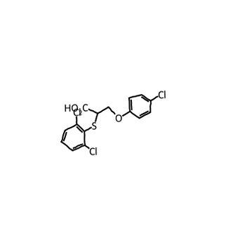 O=C(O)C(COc1ccc(Cl)cc1)Sc1c(Cl)cccc1Cl